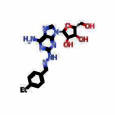 CCc1ccc(C=NNc2nc(N)c3ncn([C@@H]4O[C@H](CO)[C@@H](O)[C@H]4O)c3n2)cc1